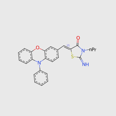 CCCN1C(=N)S/C(=C\c2ccc3c(c2)Oc2ccccc2N3c2ccccc2)C1=O